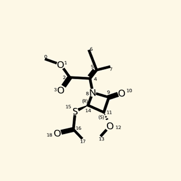 COC(=O)C(=C(C)C)N1C(=O)[C@H](OC)[C@H]1SC(C)=O